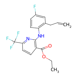 C=CCc1cc(F)ccc1Nc1nc(C(F)(F)F)ccc1C(=O)OCC